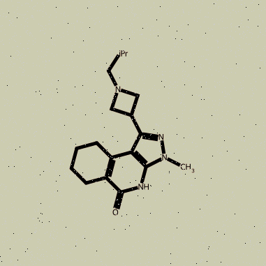 CC(C)CN1CC(c2nn(C)c3[nH]c(=O)c4c(c23)CCCC4)C1